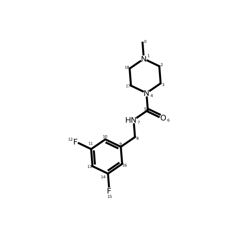 CN1CCN(C(=O)NCc2cc(F)cc(F)c2)CC1